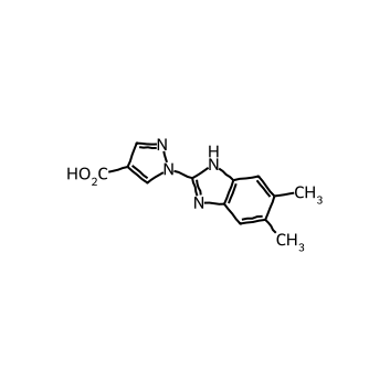 Cc1cc2nc(-n3cc(C(=O)O)cn3)[nH]c2cc1C